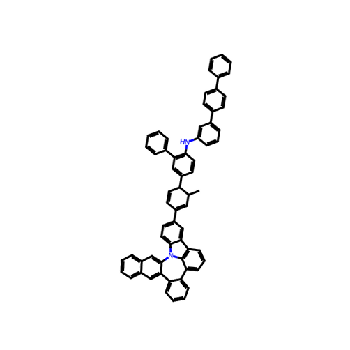 CC1C=C(c2ccc3c(c2)c2cccc4c2n3-c2cc3ccccc3cc2-c2ccccc2-4)C=CC1c1ccc(Nc2cccc(-c3ccc(-c4ccccc4)cc3)c2)c(-c2ccccc2)c1